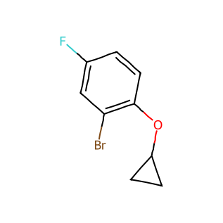 Fc1ccc(OC2CC2)c(Br)c1